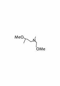 COCCN(C)CCC(C)OC